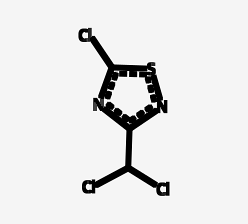 Clc1nc(C(Cl)Cl)ns1